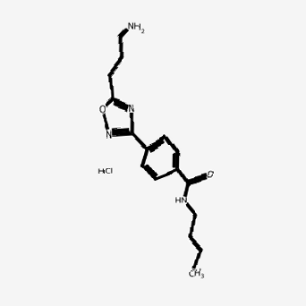 CCCCNC(=O)c1ccc(-c2noc(CCCN)n2)cc1.Cl